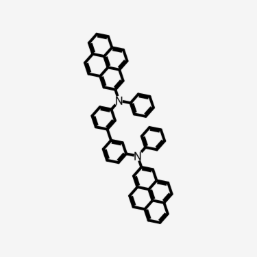 c1ccc(N(c2cccc(-c3cccc(N(c4ccccc4)c4cc5ccc6cccc7ccc(c4)c5c67)c3)c2)c2cc3ccc4cccc5ccc(c2)c3c45)cc1